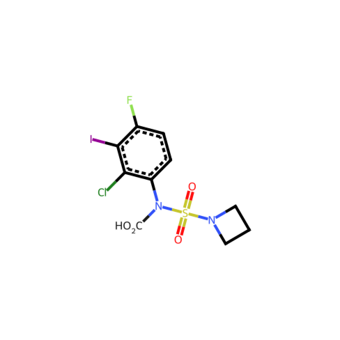 O=C(O)N(c1ccc(F)c(I)c1Cl)S(=O)(=O)N1CCC1